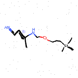 C/C(=C\C=N)NCOCC[Si](C)(C)C